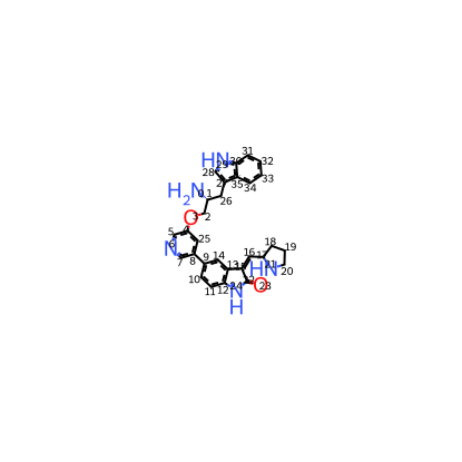 N[C@@H](COc1cncc(-c2ccc3c(c2)C(=CC2CCCN2)C(=O)N3)c1)Cc1c[nH]c2ccccc12